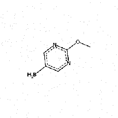 Bc1cnc(OC)nc1